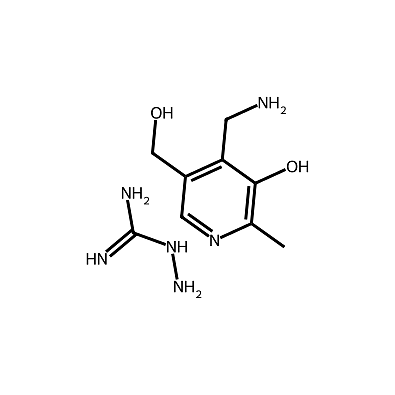 Cc1ncc(CO)c(CN)c1O.N=C(N)NN